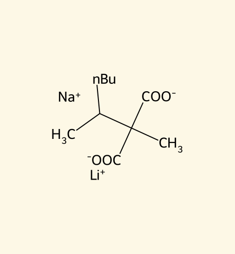 CCCCC(C)C(C)(C(=O)[O-])C(=O)[O-].[Li+].[Na+]